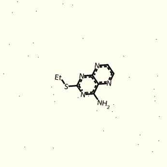 CCSc1nc(N)c2nccnc2n1